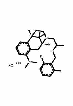 CC(CN1CC[C@@]2(C)c3cccc(N(C)C)c3C[C@@H]1C2(C)C)OCc1c(F)cccc1F.Cl.Cl